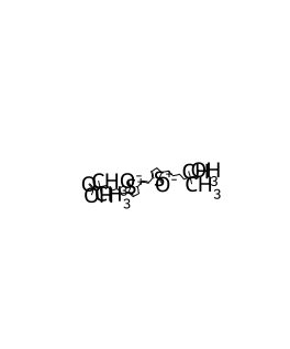 CC(C)(CO)CCCCC1CC=C(C=CC2CC=C(CCCCC(C)(C)C(=O)O)[S+]2[O-])[S+]1[O-]